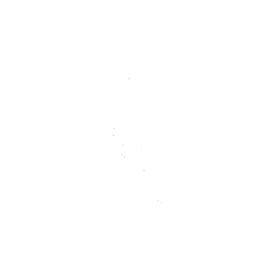 N#Cc1ccc(-c2nc3cc(OCc4ccccc4)ccn3n2)cc1